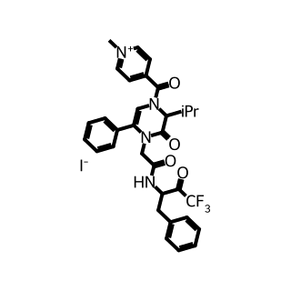 CC(C)C1C(=O)N(CC(=O)NC(Cc2ccccc2)C(=O)C(F)(F)F)C(c2ccccc2)=CN1C(=O)c1cc[n+](C)cc1.[I-]